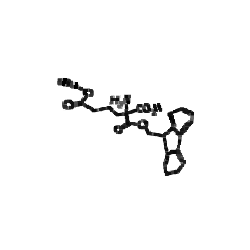 CC(C)(C)OC(=O)CCCC(N)(C(=O)O)C(=O)OCC1c2ccccc2-c2ccccc21